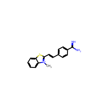 C[n+]1c(C=Cc2ccc(C(=N)N)cc2)sc2ccccc21